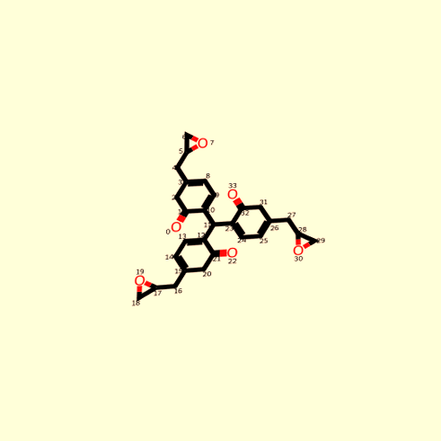 O=C1CC(CC2CO2)=CC=C1C(C1=CC=C(CC2CO2)CC1=O)C1=CC=C(CC2CO2)CC1=O